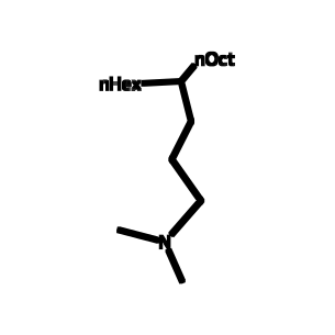 CCCCCCCCC(CCCCCC)CCCN(C)C